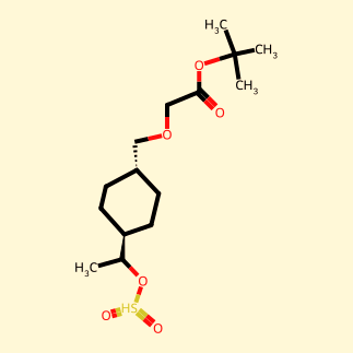 CC(O[SH](=O)=O)[C@H]1CC[C@H](COCC(=O)OC(C)(C)C)CC1